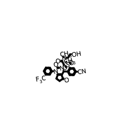 CN(CCO)C(=O)CN1C(=O)N(c2cccc(C(F)(F)F)c2)C2=C(C(=O)CC2)C1c1ccc(C#N)cc1S(C)(=O)=O